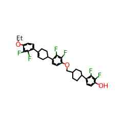 CCOc1ccc(C2=CCC(c3ccc(OCC4CCC(c5ccc(O)c(F)c5F)CC4)c(F)c3F)CC2)c(F)c1F